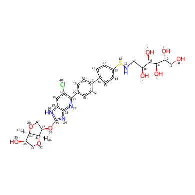 OC[C@@H](O)[C@@H](O)[C@H](O)[C@@H](O)CNSc1ccc(-c2ccc(-c3nc4nc(O[C@@H]5CO[C@H]6[C@@H]5OC[C@H]6O)[nH]c4cc3Cl)cc2)cc1